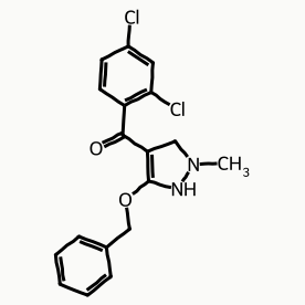 CN1CC(C(=O)c2ccc(Cl)cc2Cl)=C(OCc2ccccc2)N1